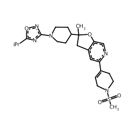 CC(C)c1nc(N2CCC(C3(C)Cc4cc(C5=CCN(S(C)(=O)=O)CC5)ncc4O3)CC2)no1